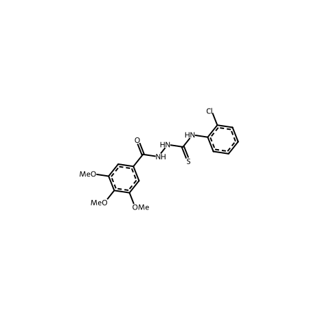 COc1cc(C(=O)NNC(=S)Nc2ccccc2Cl)cc(OC)c1OC